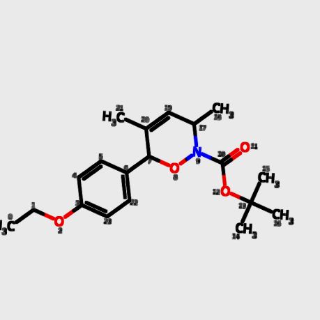 CCOc1ccc(C2ON(C(=O)OC(C)(C)C)C(C)C=C2C)cc1